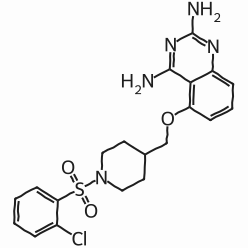 Nc1nc(N)c2c(OCC3CCN(S(=O)(=O)c4ccccc4Cl)CC3)cccc2n1